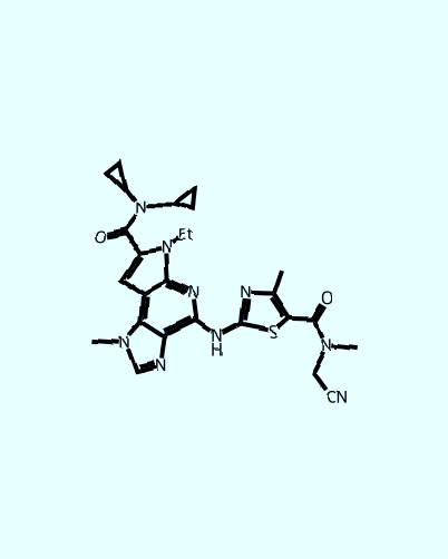 CCn1c(C(=O)N(C2CC2)C2CC2)cc2c3c(ncn3C)c(Nc3nc(C)c(C(=O)N(C)CC#N)s3)nc21